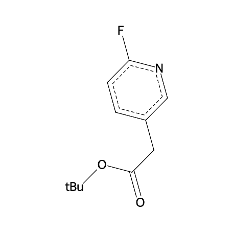 CC(C)(C)OC(=O)Cc1ccc(F)nc1